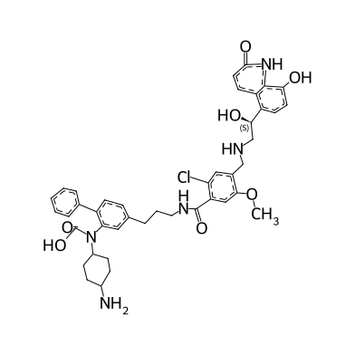 COc1cc(C(=O)NCCCc2ccc(-c3ccccc3)c(N(C(=O)O)C3CCC(N)CC3)c2)c(Cl)cc1CNC[C@@H](O)c1ccc(O)c2[nH]c(=O)ccc12